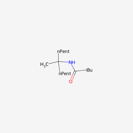 CCCCCC(C)(CCCCC)NC(=O)C(C)CC